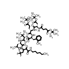 CCCCCCNC(=O)C(=O)C(CC(F)(F)F)NC(=O)[C@H](CC(C)C)NC(=O)[C@@H](NC(=O)[C@H](Cc1ccccc1C)NC(=O)[C@H](CCC(=O)OC(C)(C)C)NC(=O)[C@H](CC(=O)OC(C)(C)C)NC(=O)CCC(=O)OC(C)(C)C)C(C)(C)C